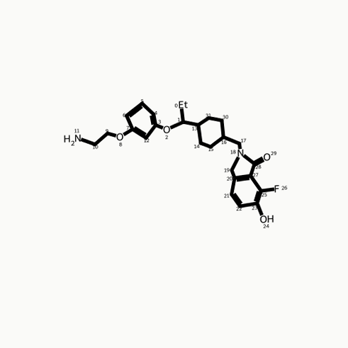 CCC(Oc1cccc(OCCN)c1)C1CCC(CN2Cc3ccc(O)c(F)c3C2=O)CC1